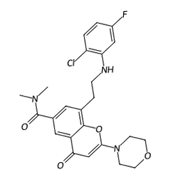 CN(C)C(=O)c1cc(CCNc2cc(F)ccc2Cl)c2oc(N3CCOCC3)cc(=O)c2c1